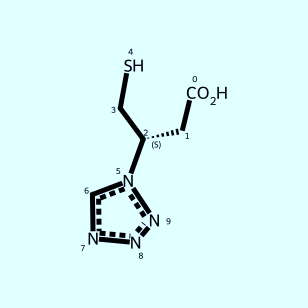 O=C(O)C[C@@H](CS)n1cnnn1